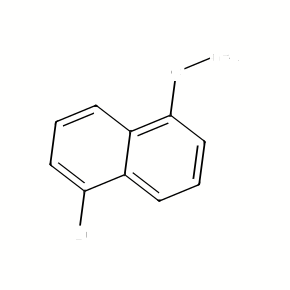 CCCCOc1cccc2c(CC)cccc12